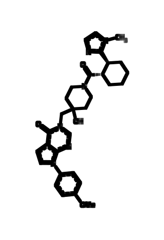 COc1ccc(-n2ccc3c(=O)n(CC4(O)CCN(C(=O)[C@H]5CCCC[C@@H]5c5nccn5C)CC4)cnc32)cc1